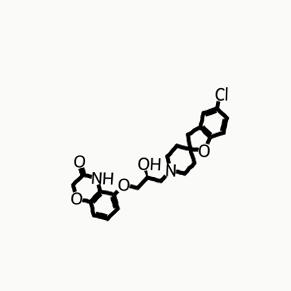 O=C1COc2cccc(OC[C@@H](O)CN3CCC4(CC3)Cc3cc(Cl)ccc3O4)c2N1